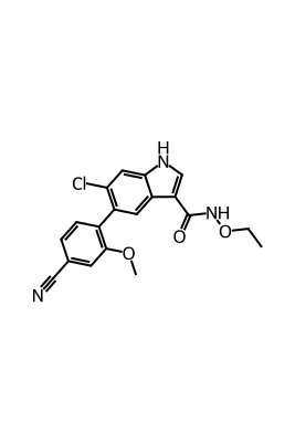 CCONC(=O)c1c[nH]c2cc(Cl)c(-c3ccc(C#N)cc3OC)cc12